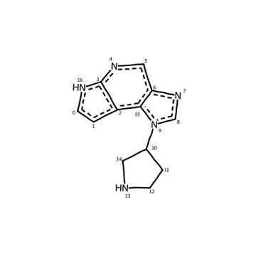 c1cc2c(ncc3ncn(C4CCNC4)c32)[nH]1